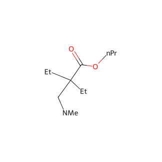 CCCOC(=O)C(CC)(CC)CNC